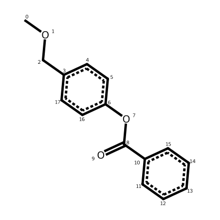 COCc1ccc(OC(=O)c2ccccc2)cc1